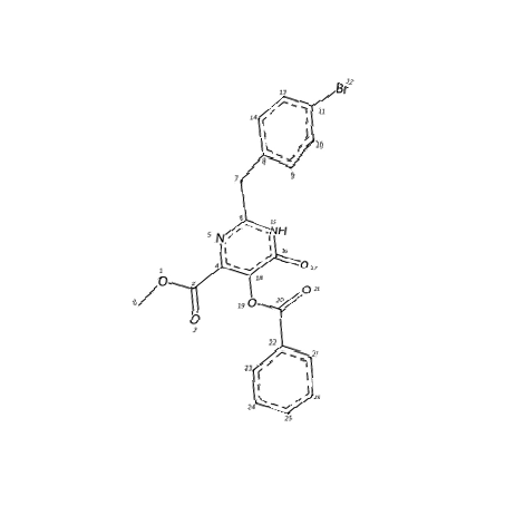 COC(=O)c1nc(Cc2ccc(Br)cc2)[nH]c(=O)c1OC(=O)c1ccccc1